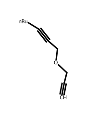 C#CCOCC#CCCCC